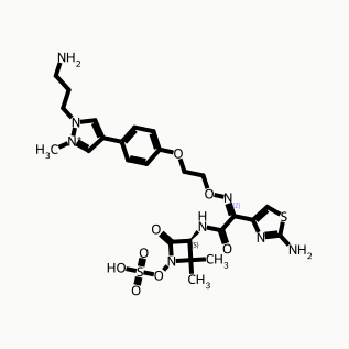 C[n+]1cc(-c2ccc(OCCO/N=C(\C(=O)N[C@@H]3C(=O)N(OS(=O)(=O)O)C3(C)C)c3csc(N)n3)cc2)cn1CCCN